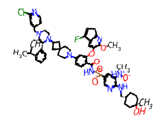 COc1nc2c(cc1Oc1cc(N3CCC4(CC3)CC(N3CCN(Cc5ccnc(Cl)c5)C[C@H]3c3ccccc3C(C)C)C4)ccc1C(=O)NS(=O)(=O)c1cnc(NC[C@H]3CC[C@](C)(O)CC3)c([NH+](C)[O-])c1)C(F)=CC2